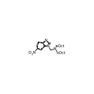 CCCCCCCCN(CCCCCCCC)Cn1nnc2ccc([N+](=O)[O-])cc21